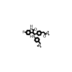 CN(C)Cc1ccc(NC(=C2C(=O)Nc3cc(F)ccc32)c2ccc(CC(=O)N(C)C)cc2)cc1